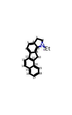 CCN1CCc2ccc3c(c21)Cc1c-3ccc2ccccc12